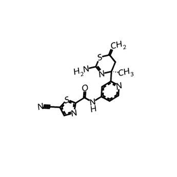 C=C1C[C@@](C)(c2cc(NC(=O)c3ncc(C#N)s3)ccn2)N=C(N)S1